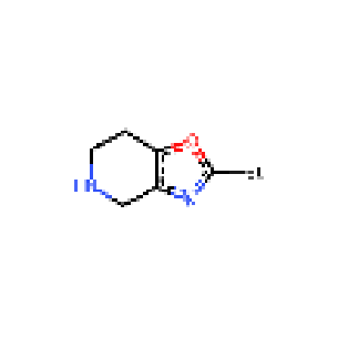 CCc1nc2c(o1)CCNC2